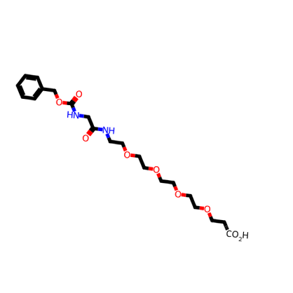 O=C(O)CCOCCOCCOCCOCCNC(=O)CNC(=O)OCc1ccccc1